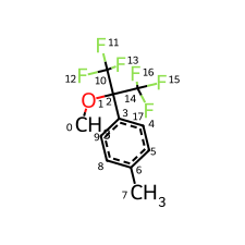 COC(c1ccc(C)cc1)(C(F)(F)F)C(F)(F)F